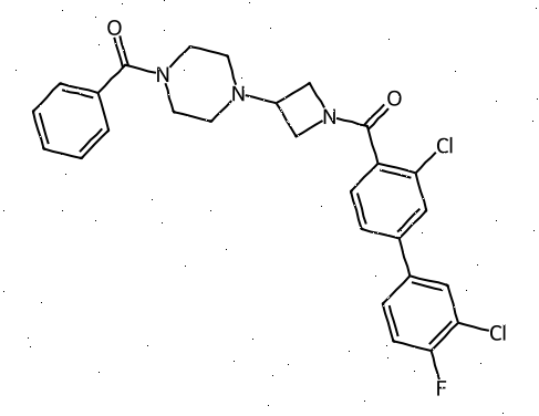 O=C(c1ccccc1)N1CCN(C2CN(C(=O)c3ccc(-c4ccc(F)c(Cl)c4)cc3Cl)C2)CC1